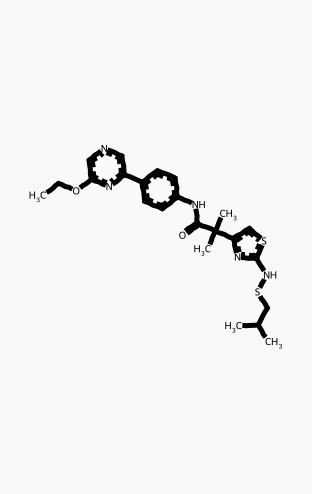 CCOc1cncc(-c2ccc(NC(=O)C(C)(C)c3csc(NSCC(C)C)n3)cc2)n1